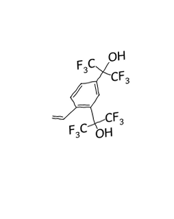 C=Cc1ccc(C(O)(C(F)(F)F)C(F)(F)F)cc1C(O)(C(F)(F)F)C(F)(F)F